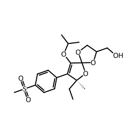 CC[C@]1(C)OC2(OCC(CO)O2)C(OC(C)C)=C1c1ccc(S(C)(=O)=O)cc1